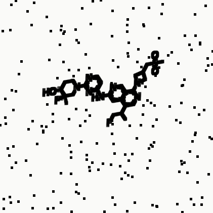 CC(CF)c1cnc(N2CC(CS(C)(=O)=O)C2)c2cnc(Nc3ccnc(N4CC[C@@H](O)[C@@](C)(F)C4)n3)cc12